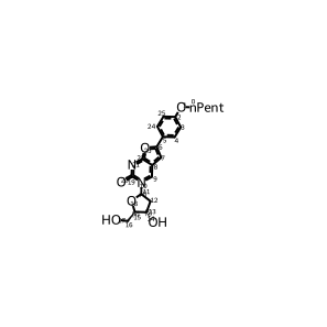 CCCCCOc1ccc(-c2cc3cn([C@H]4C[C@H](O)[C@@H](CO)O4)c(=O)nc3o2)cc1